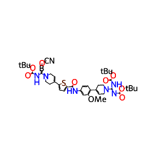 COc1cc(NC(=O)c2ccc(C3=CCN(C(=BOC#N)NC(=O)OC(C)(C)C)CC3)s2)ccc1C1=CCN(C(=NC(=O)OC(C)(C)C)NC(=O)OC(C)(C)C)CC1